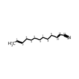 CC=CCCCCCCCC=CC#N